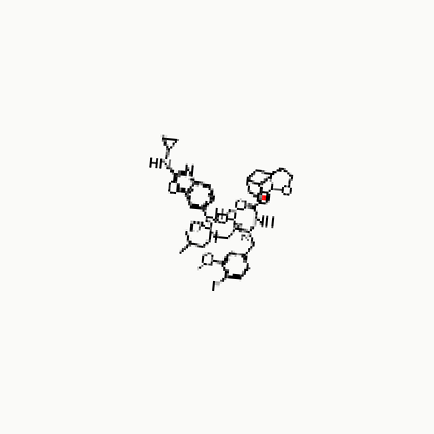 COc1cc(C[C@H](NC(=O)OC2C3COC4OCC2C4C3)[C@H](O)CN(CC(C)C)S(=O)(=O)c2ccc3nc(NC4CC4)oc3c2)ccc1F